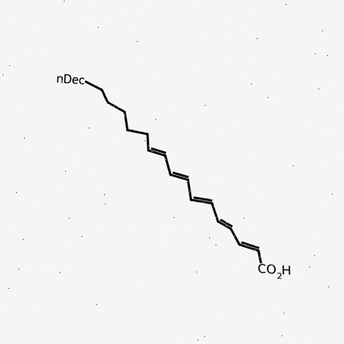 CCCCCCCCCCCCCCCC=CC=CC=CC=CC=CC(=O)O